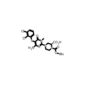 Cn1c(N2CCN(C(=O)OC(C)(C)C)[C@H](C(=O)O)C2)nc(N)c(Sc2cccc(Cl)c2Cl)c1=O